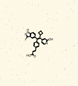 O=C(O)/C=C/c1ccc(/C(=C(\c2ccnc(O)c2)C2CCC2)c2ccc3[nH]nc(F)c3c2)cc1